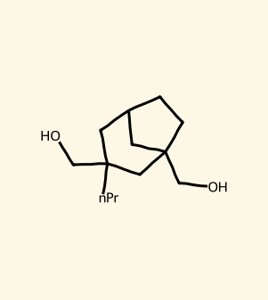 CCCC1(CO)CC2CCC(CO)(C2)C1